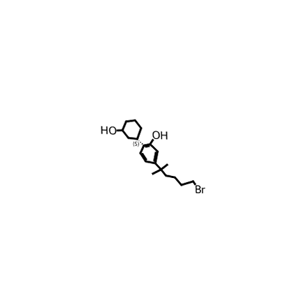 CC(C)(CCCCBr)c1ccc([C@H]2CCCC(O)C2)c(O)c1